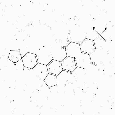 Cc1nc(N[C@H](C)c2cc(N)cc(C(F)(F)F)c2)c2cc(C3=CCC4(CC3)OCCO4)c3c(c2n1)CCC3